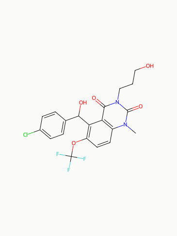 Cn1c(=O)n(CCCO)c(=O)c2c(C(O)c3ccc(Cl)cc3)c(OC(F)(F)F)ccc21